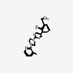 Cc1cccnc1N1CCN(c2ncc(-c3cccc(CO)c3F)cn2)CC1